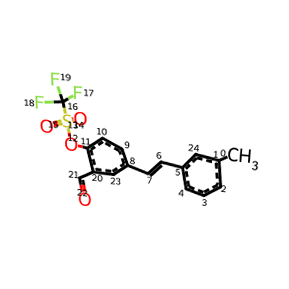 Cc1cccc(/C=C/c2ccc(OS(=O)(=O)C(F)(F)F)c(C=O)c2)c1